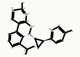 Cc1ccc([C@H]2C[C@@H]2COc2nc(C)ncc2-c2cccc(C(C)C)c2)nc1